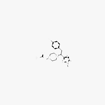 Cn1nnc(C(Cc2ccc(Br)cc2)N2CCN(OC(=O)O)CC2)n1